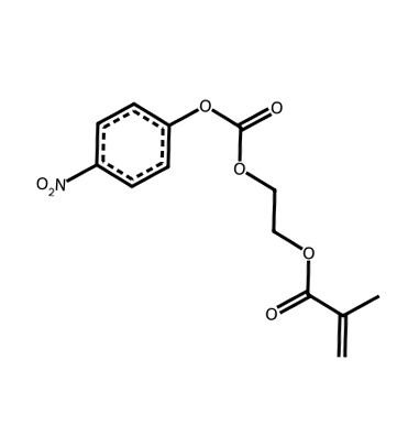 C=C(C)C(=O)OCCOC(=O)Oc1ccc([N+](=O)[O-])cc1